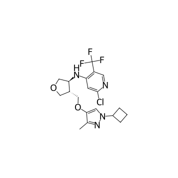 Cc1nn(C2CCC2)cc1OC[C@@H]1COC[C@H]1Nc1cc(Cl)ncc1C(F)(F)F